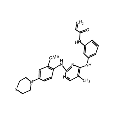 C=CC(=O)Nc1cccc(Nc2nc(Nc3ccc(N4CCSCC4)cc3OC)ncc2C)c1